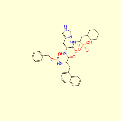 O=C(NC(Cc1cccc2ccccc12)C(=O)N[C@@H](Cc1c[nH]cn1)C(=O)NC(CC1CCCCC1)P(=O)(O)O)OCc1ccccc1